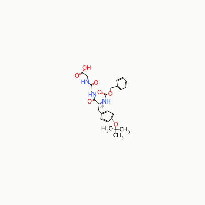 CC(C)(C)Oc1ccc(C[C@H](NC(=O)OCc2ccccc2)C(=O)NCC(=O)NCC(=O)O)cc1